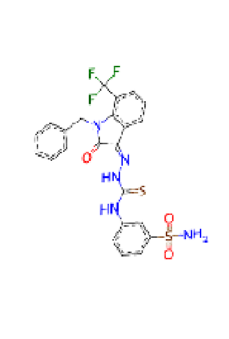 NS(=O)(=O)c1cccc(NC(=S)NN=C2C(=O)N(Cc3ccccc3)c3c2cccc3C(F)(F)F)c1